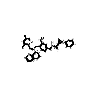 Cc1cnc(CN(Cc2ccc(CNC(=O)C3C[C@H]3c3ccccc3)cc2CO)[C@H]2CCCc3cccnc32)c(C)c1